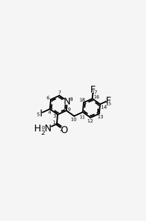 NC(=O)c1c(I)ccnc1Cc1ccc(F)c(F)c1